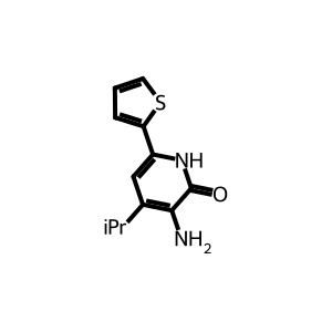 CC(C)c1cc(-c2cccs2)[nH]c(=O)c1N